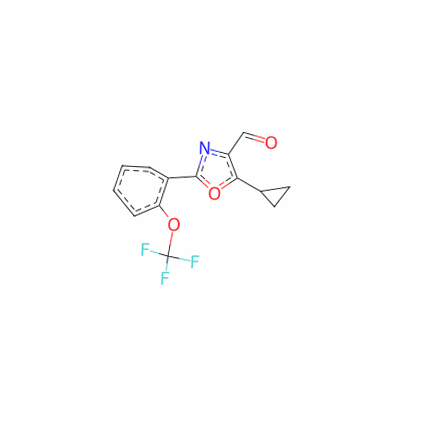 O=Cc1nc(-c2ccccc2OC(F)(F)F)oc1C1CC1